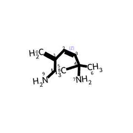 C=C(/C=C\C(C)(C)N)CN